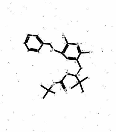 CC(C)(C)OC(=O)N[C@@H](Cc1cc(OCc2ccccc2)c(Cl)nc1I)C(C)(C)C